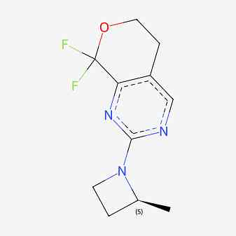 C[C@H]1CCN1c1ncc2c(n1)C(F)(F)OCC2